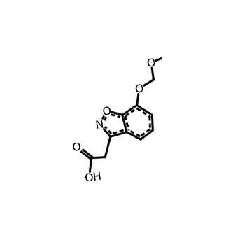 COCOc1cccc2c(CC(=O)O)noc12